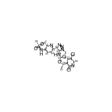 Cc1nc(-c2nnn(C)c2NC(=O)O[C@H](C)c2cc(Cl)cnc2Cl)ccc1NS(C)(=O)=O